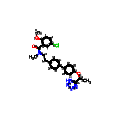 CCCCOc1ccc(Cl)cc1C(=O)N(C)CCc1ccc(-c2ccc(OC(C)c3nnn[nH]3)cc2)cc1